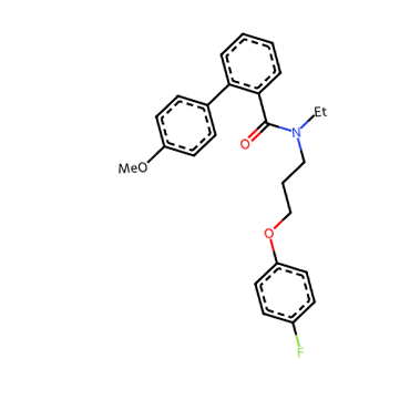 CCN(CCCOc1ccc(F)cc1)C(=O)c1ccccc1-c1ccc(OC)cc1